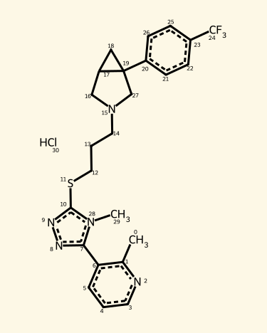 Cc1ncccc1-c1nnc(SCCCN2CC3CC3(c3ccc(C(F)(F)F)cc3)C2)n1C.Cl